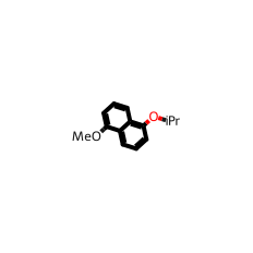 COc1cccc2c(OC(C)C)cccc12